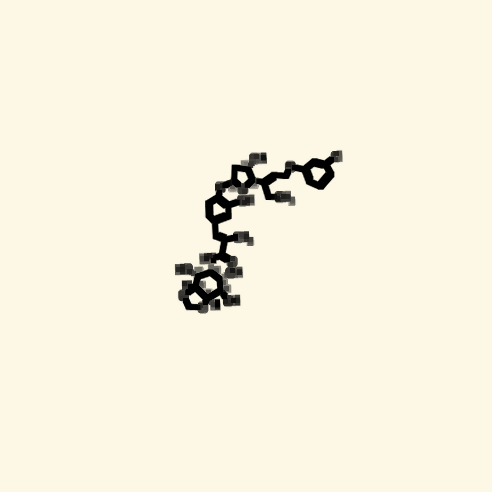 CCC(=CCOc1cccc(Cl)c1)[C@H]1O[C@@H](Oc2ccc(C=C(C)C(=O)N[C@@H]3[C@H](O)[C@@H](O)[C@H]4OCO[C@H]4[C@@H]3O)cc2O)C[C@@H]1O